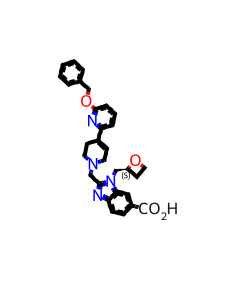 O=C(O)c1ccc2nc(CN3CC=C(c4cccc(OCc5ccccc5)n4)CC3)n(C[C@@H]3CCO3)c2c1